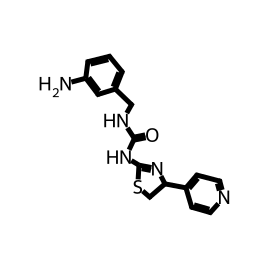 Nc1cccc(CNC(=O)NC2=NC(c3ccncc3)CS2)c1